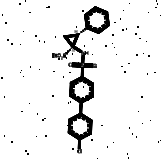 CCOC(=O)[C@]1(NS(=O)(=O)c2ccc(-c3ccc(Cl)cc3)cc2)C[C@@H]1c1ccccc1